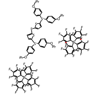 CC(C)Oc1ccc([S+](c2ccc(OC(C)C)cc2)c2ccc(Sc3ccc([S+](c4ccc(OC(C)C)cc4)c4ccc(OC(C)C)cc4)s3)s2)cc1.Fc1c(F)c(F)c([B-](c2c(F)c(F)c(F)c(F)c2F)(c2c(F)c(F)c(F)c(F)c2F)c2c(F)c(F)c(F)c(F)c2F)c(F)c1F.Fc1c(F)c(F)c([B-](c2c(F)c(F)c(F)c(F)c2F)(c2c(F)c(F)c(F)c(F)c2F)c2c(F)c(F)c(F)c(F)c2F)c(F)c1F